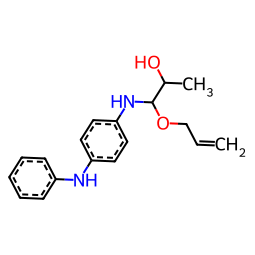 C=CCOC(Nc1ccc(Nc2ccccc2)cc1)C(C)O